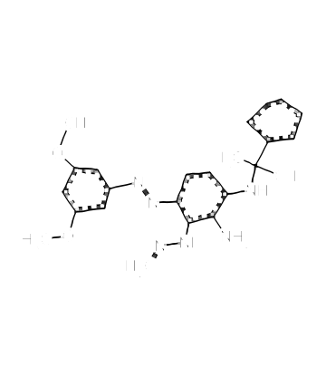 C=NNc1c(/N=N/c2cc(OC)cc(OC)c2)ccc(NC(C)(C)c2ccccc2)c1N